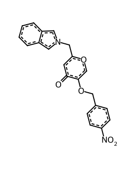 O=c1cc(Cn2cc3ccccc3c2)occ1OCc1ccc([N+](=O)[O-])cc1